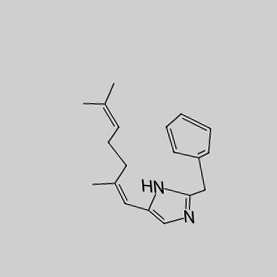 CC(C)=CCCC(C)=Cc1cnc(Cc2ccccc2)[nH]1